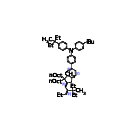 C/C=C(\C=C/C1C/C(=C\C(=C/CC)C(C)(CC)CC)C(CCCCCCCC)(CCCCCCCC)C1)c1ccc(N(c2ccc(C(C)CC)cc2)c2ccc(C(C)(CC)CC)cc2)cc1